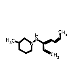 C=C/C(BN1CCCC(C)C1)=C\C=C/C